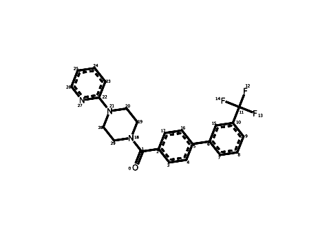 O=C(c1ccc(-c2cccc(C(F)(F)F)c2)cc1)N1CCN(c2ccccn2)CC1